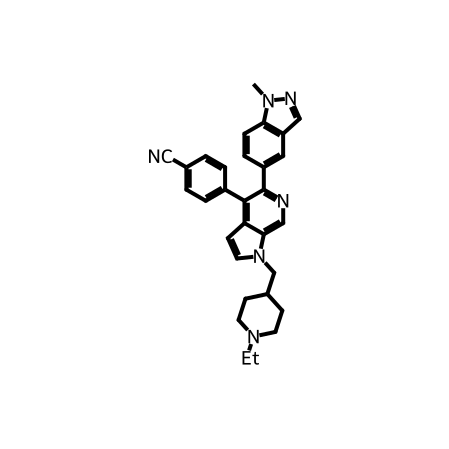 CCN1CCC(Cn2ccc3c(-c4ccc(C#N)cc4)c(-c4ccc5c(cnn5C)c4)ncc32)CC1